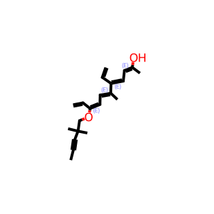 C=C\C(=C/C=C(C)/C(C=C)=C/C=C(\C)O)OCC(C)(C)C#CC